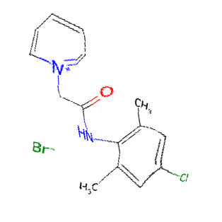 Cc1cc(Cl)cc(C)c1NC(=O)C[n+]1ccccc1.[Br-]